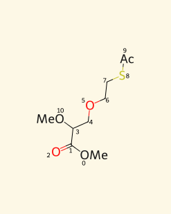 COC(=O)C(COCCSC(C)=O)OC